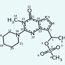 CC(OS(C)(=O)=O)c1csc2c(=O)n(C)c(N3CCCCC3)nc12